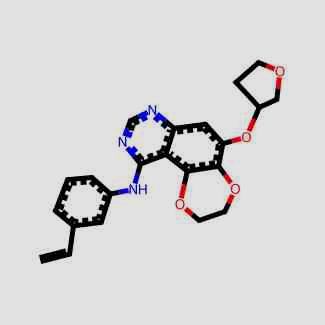 C=Cc1cccc(Nc2ncnc3cc(OC4CCOC4)c4c(c23)OCCO4)c1